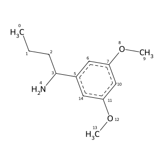 CCCC(N)c1cc(OC)cc(OC)c1